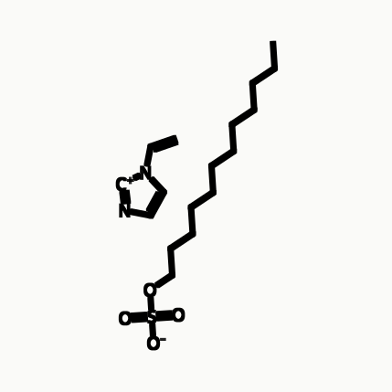 C=CN1[C+]=NC=C1.CCCCCCCCCCCCOS(=O)(=O)[O-]